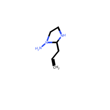 C=CCC1NCCN1N